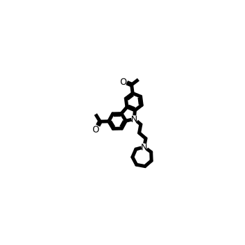 CC(=O)c1ccc2c(c1)c1cc(C(C)=O)ccc1n2CCCN1CCCCCC1